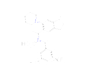 CC(c1cc2c(cc1N1CCCCC1)CCC2)N(Cc1cc(C(F)(F)F)cc(C(F)(F)F)c1)C(=O)O